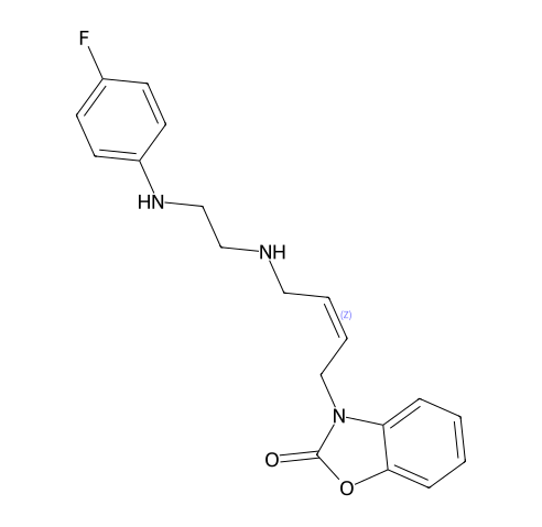 O=c1oc2ccccc2n1C/C=C\CNCCNc1ccc(F)cc1